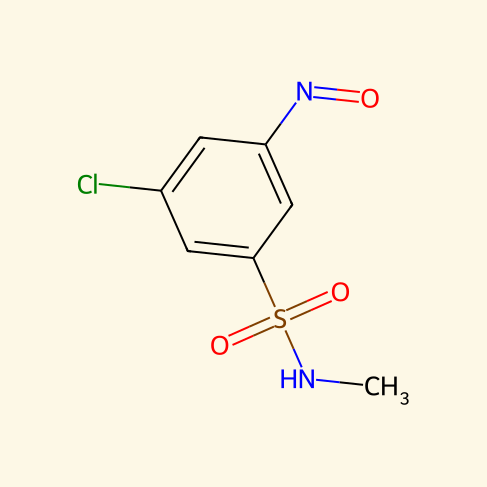 CNS(=O)(=O)c1cc(Cl)cc(N=O)c1